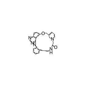 O=C1CN2C=CC=C(COc3ccc4ncnc(c4c3)/N=c3/cccc/c3=C/C=C\N1)C2